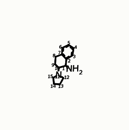 NC1c2ccccc2CCC1N1CCCC1